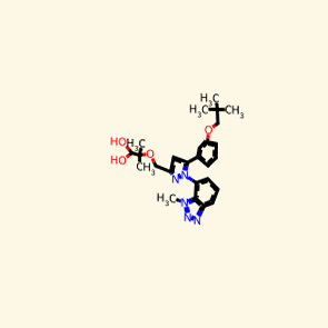 Cn1nnc2cccc(-n3nc(COC(C)(C)C(O)O)cc3-c3cccc(OCC(C)(C)C)c3)c21